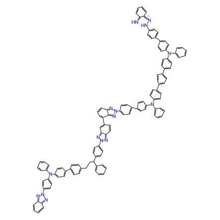 N=C1C=CC=C/C1=N/Nc1ccc(-c2ccc(N(c3ccccc3)c3ccc(-c4ccc(-c5ccc(N(c6ccccc6)c6ccc(-c7ccc(-n8nc9cccc(-c%10ccc%11nn(-c%12ccc(C(CCc%13ccc(-c%14ccc(N(c%15ccccc%15)c%15ccc(-n%16nc%17ccccc%17n%16)cc%15)cc%14)cc%13)c%13ccccc%13)cc%12)nc%11c%10)c9n8)cc7)cc6)cc5)cc4)cc3)cc2)cc1